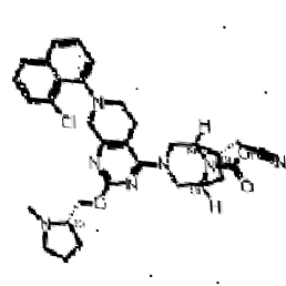 CN1CCC[C@H]1COc1nc2c(c(N3C[C@H]4C[C@@H](CC#N)[C@@H](C3)N4C(=O)O)n1)CCN(c1cccc3cccc(Cl)c13)C2